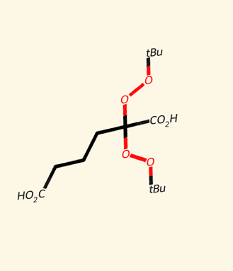 CC(C)(C)OOC(CCCC(=O)O)(OOC(C)(C)C)C(=O)O